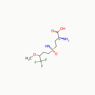 COC(CCS(=N)(=O)CC[C@H](N)C(=O)O)C(F)(F)F